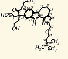 CCN1C(=O)C(CCO)(CCO)c2cc3[nH]c4c(c3cc21)CCCc1cn(COCC[Si](C)(C)C)nc1-4